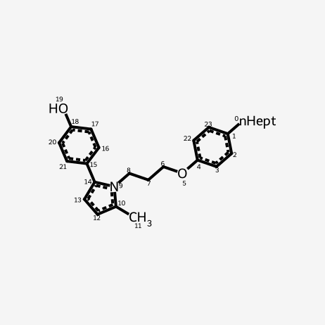 CCCCCCCc1ccc(OCCCn2c(C)ccc2-c2ccc(O)cc2)cc1